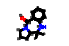 CC1(C)Nc2ccccc2C(=O)N2CCCC21